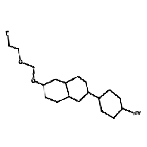 CCCC1CCC(C2CCC3CC(OCOCCF)CCC3C2)CC1